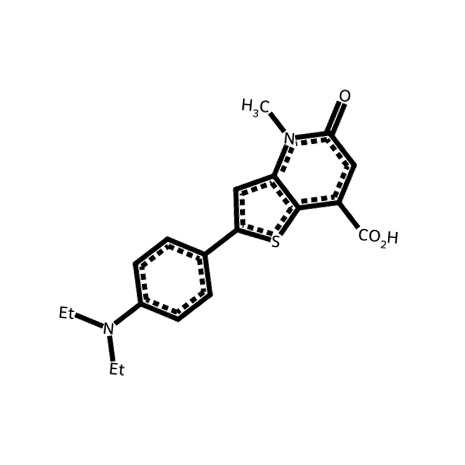 CCN(CC)c1ccc(-c2cc3c(s2)c(C(=O)O)cc(=O)n3C)cc1